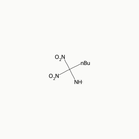 CCCCC([NH])([N+](=O)[O-])[N+](=O)[O-]